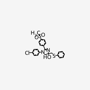 CS(=O)(=O)c1ccc(C2=NC(O)(CSc3ccccc3)CN2c2ccc(Cl)cc2)cc1